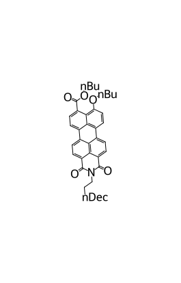 CCCCCCCCCCCCN1C(=O)c2ccc3c4ccc(OCCCC)c5c(C(=O)OCCCC)ccc(c6ccc(c2c36)C1=O)c54